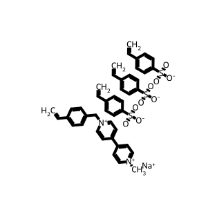 C=Cc1ccc(C[n+]2ccc(-c3cc[n+](C)cc3)cc2)cc1.C=Cc1ccc(S(=O)(=O)[O-])cc1.C=Cc1ccc(S(=O)(=O)[O-])cc1.C=Cc1ccc(S(=O)(=O)[O-])cc1.[Na+]